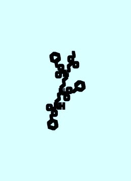 CCOC(=O)CCN(CCCCN(CCCNC(=O)OCc1ccccc1)C(=O)OCc1ccccc1)C(=O)OCc1ccccc1